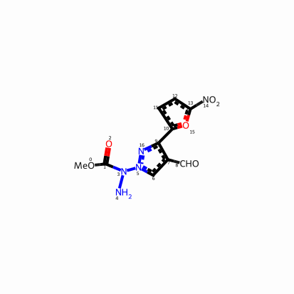 COC(=O)N(N)n1cc(C=O)c(-c2ccc([N+](=O)[O-])o2)n1